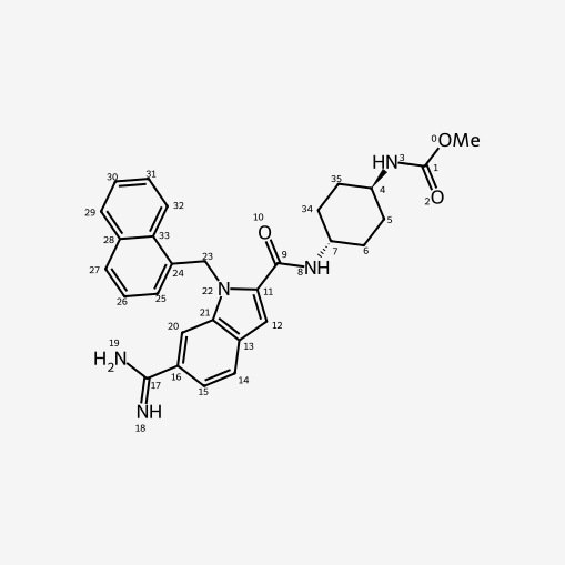 COC(=O)N[C@H]1CC[C@H](NC(=O)c2cc3ccc(C(=N)N)cc3n2Cc2cccc3ccccc23)CC1